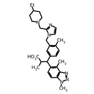 CCC1CCN(Cc2nccn2Cc2cc(C(c3ccc4c(nnn4C)c3C)C(C)C(=O)O)ccc2C)CC1